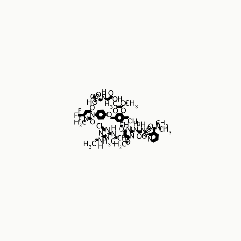 CCNc1nc(Cl)nc(NC(C)C)n1.CCc1ccc(COc2ccc(-n3c(=O)cc(C(F)(F)F)n(C)c3=O)cc2)c(OC(C)C(=O)OC)c1.COc1cc(OC)nc(NC(=O)NS(=O)(=O)c2ncccc2C(=O)N(C)C)n1.O=C(O)CNCP(=O)(O)O